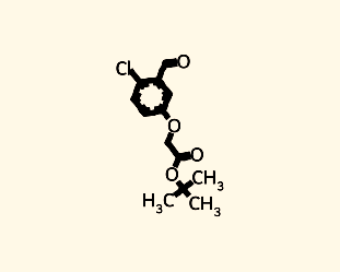 CC(C)(C)OC(=O)COc1ccc(Cl)c(C=O)c1